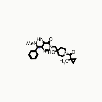 CN/C(=C1/N=CN(CC2(O)CCN(C(=O)C3(C)CC3)CC2)C(=O)C1=N)c1ccccc1